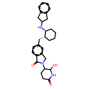 O=C1CCC(N2Cc3cc(C[C@H]4CCCC[C@@H]4NC4Cc5ccccc5C4)ccc3C2=O)C(O)N1